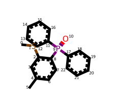 CSc1cc(C)ccc1P(=O)(c1ccccc1)c1ccccc1